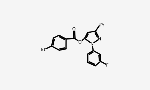 CCc1ccc(C(=O)Oc2cc(C(C)C)nn2-c2cccc(F)c2)cc1